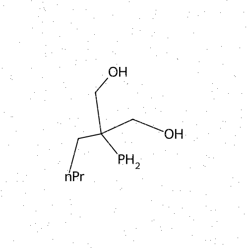 CCCCC(P)(CO)CO